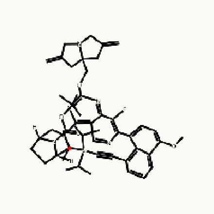 C=C1CN2CC(=C)CC2(COc2nc(N3C[C@H]4CC[C@@H](C3)N4C(=O)OC(C)(C)C)c3cnc(-c4ccc(OC)c5cccc(C#C[Si](C(C)C)(C(C)C)C(C)C)c45)c(F)c3n2)C1